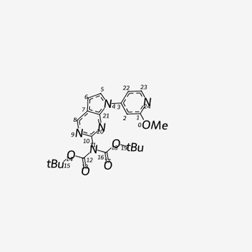 COc1cc(-n2ccc3cnc(N(C(=O)OC(C)(C)C)C(=O)OC(C)(C)C)nc32)ccn1